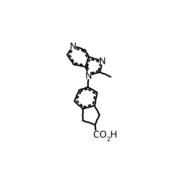 Cc1nc2cnccc2n1-c1ccc2c(c1)CC(C(=O)O)C2